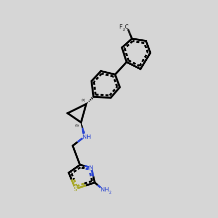 Nc1nc(CN[C@H]2C[C@@H]2c2ccc(-c3cccc(C(F)(F)F)c3)cc2)cs1